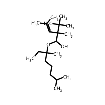 CCC(C)(CCCC(C)C)OC(O)C(C)(C=C(C)C)C(C)(C)C